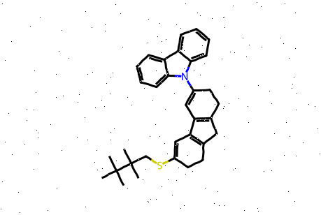 CC(C)(C)C(C)(C)CSC1=CC2=C(CC1)CC1=C2C=C(n2c3ccccc3c3ccccc32)CC1